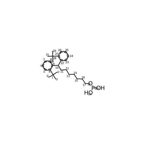 CC(C)(C)c1ccccc1C(CCCCCCCOP(O)O)c1ccccc1C(C)(C)C